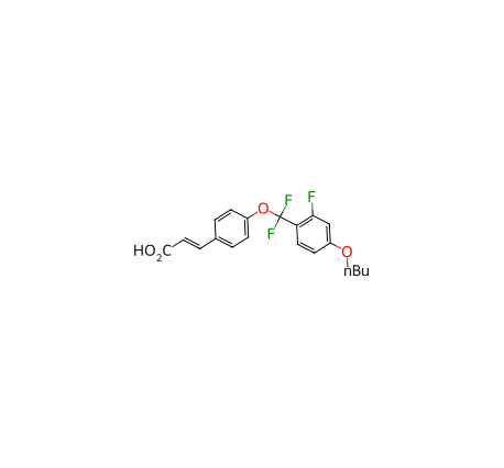 CCCCOc1ccc(C(F)(F)Oc2ccc(C=CC(=O)O)cc2)c(F)c1